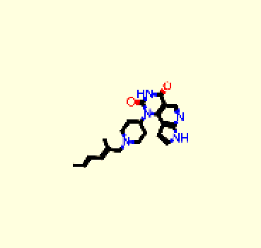 CC=C/C=C(\C)CN1CCC(n2c(=O)[nH]c(=O)c3cnc4[nH]ccc4c32)CC1